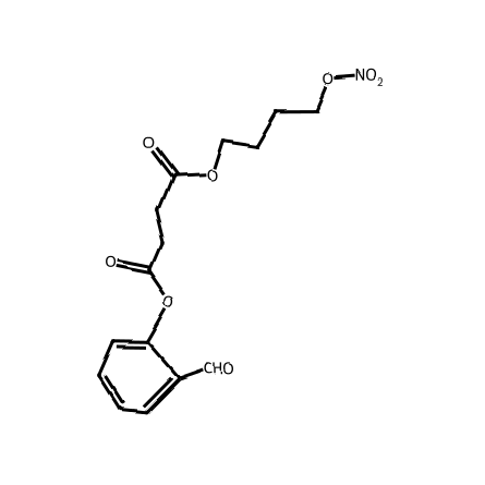 O=Cc1ccccc1OC(=O)CCC(=O)OCCCCO[N+](=O)[O-]